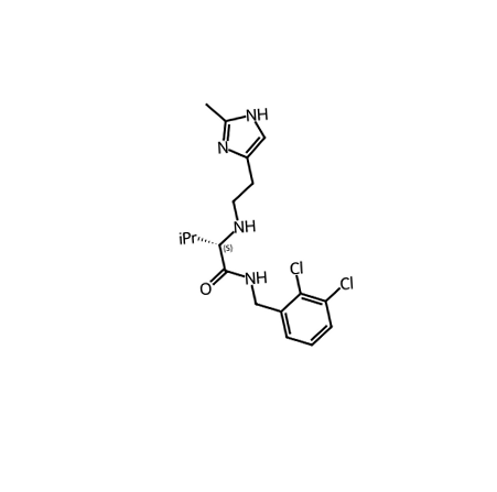 Cc1nc(CCN[C@H](C(=O)NCc2cccc(Cl)c2Cl)C(C)C)c[nH]1